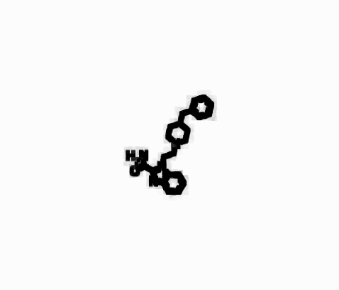 NC(=O)c1nc2ccccc2n1CCN1CCC(Cc2ccccc2)CC1